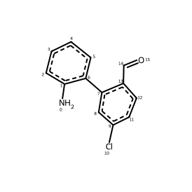 Nc1ccccc1-c1cc(Cl)ccc1C=O